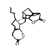 CCCC1CC2CC(=O)OC2C1CC1C2C(=O)OC3C2CC1[C@H]3C